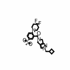 CS(=O)(=O)c1ccc(N2CCC(F)(F)CC2)c(C(=O)N2Cc3cn(CC4CCC4)nc3C2)c1